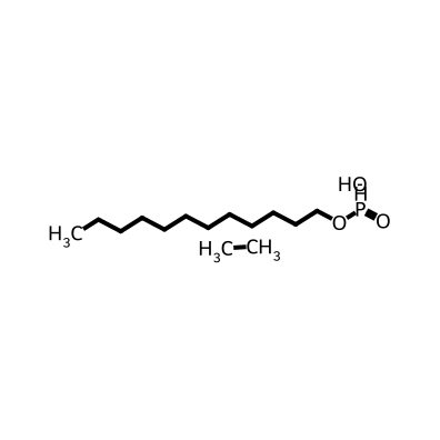 CC.CCCCCCCCCCCCO[PH](=O)O